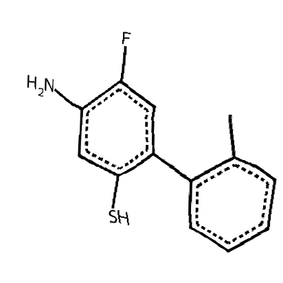 Cc1ccccc1-c1cc(F)c(N)cc1S